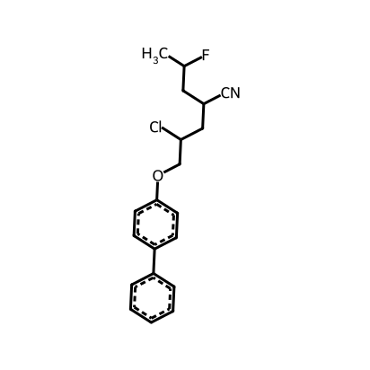 CC(F)CC(C#N)CC(Cl)COc1ccc(-c2ccccc2)cc1